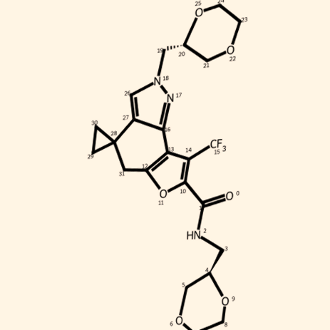 O=C(NC[C@@H]1COCCO1)c1oc2c(c1C(F)(F)F)-c1nn(C[C@H]3COCCO3)cc1C1(CC1)C2